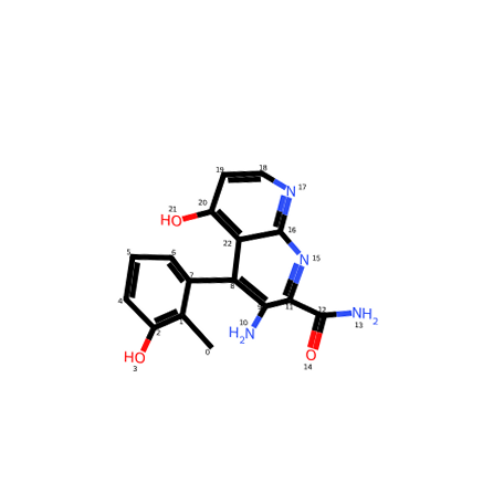 Cc1c(O)cccc1-c1c(N)c(C(N)=O)nc2nccc(O)c12